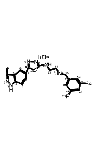 Cc1n[nH]c2ccc(-c3nnc(NCCNCc4cc(F)cc(F)c4)s3)cc12.Cl